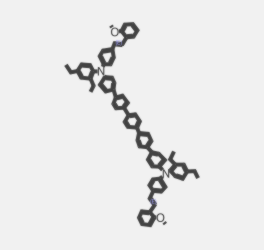 CCc1ccc(N(c2ccc(/C=C/c3ccccc3OC)cc2)c2ccc(-c3ccc(-c4ccc(-c5ccc(-c6ccc(N(c7ccc(/C=C/c8ccccc8OC)cc7)c7ccc(CC)cc7CC)cc6)cc5)cc4)cc3)cc2)c(CC)c1